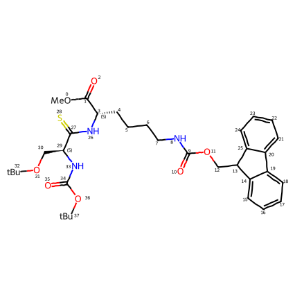 COC(=O)[C@H](CCCCNC(=O)OCC1c2ccccc2-c2ccccc21)NC(=S)[C@H](COC(C)(C)C)NC(=O)OC(C)(C)C